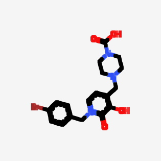 O=C(O)N1CCN(Cc2ccn(Cc3ccc(Br)cc3)c(=O)c2O)CC1